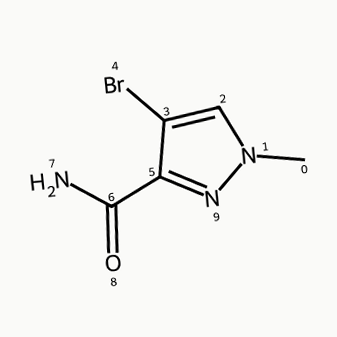 Cn1cc(Br)c(C(N)=O)n1